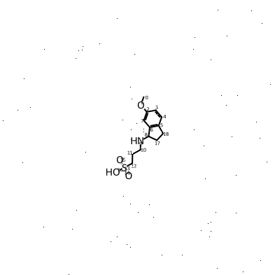 COc1ccc2c(c1)C(NCCCS(=O)(=O)O)CC2